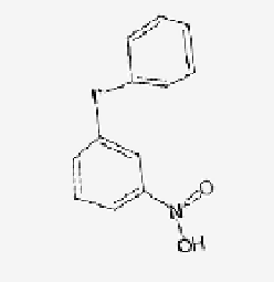 O=[N+](O)c1cccc([I+]c2ccccc2)c1